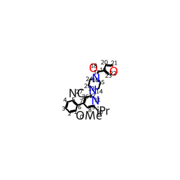 COc1ccccc1-c1cc(C(C)C)nc(N2CCN(C(=O)c3ccoc3)CC2)c1C#N